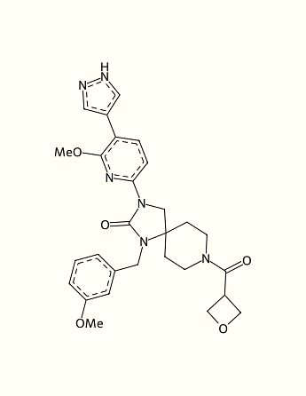 COc1cccc(CN2C(=O)N(c3ccc(-c4cn[nH]c4)c(OC)n3)CC23CCN(C(=O)C2COC2)CC3)c1